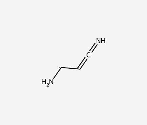 N=C=C[CH]N